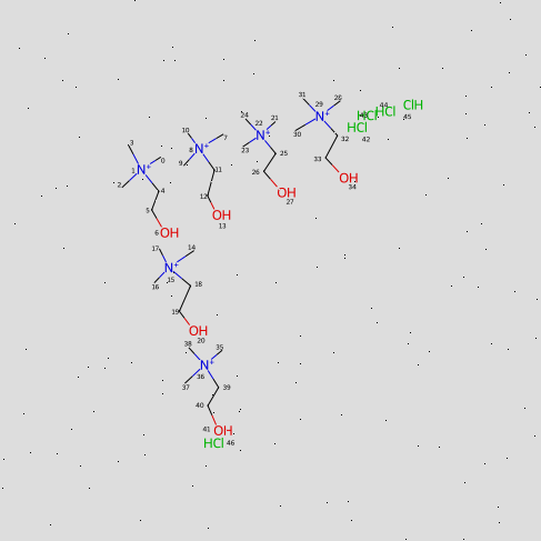 C[N+](C)(C)CCO.C[N+](C)(C)CCO.C[N+](C)(C)CCO.C[N+](C)(C)CCO.C[N+](C)(C)CCO.C[N+](C)(C)CCO.Cl.Cl.Cl.Cl.Cl